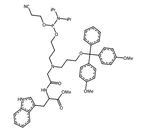 COC(=O)C(Cc1c[nH]c2ccccc12)NC(=O)CN(CCCOP(OCCC#N)N(C(C)C)C(C)C)CCCOC(c1ccccc1)(c1ccc(OC)cc1)c1ccc(OC)cc1